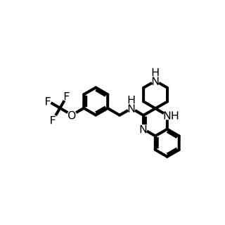 FC(F)(F)Oc1cccc(CNC2=Nc3ccccc3NC23CCNCC3)c1